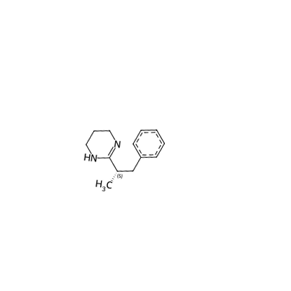 C[C@@H](Cc1ccccc1)C1=NCCCN1